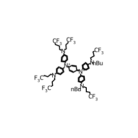 CCCCN(CCCC(F)(F)F)c1ccc([N+](=C2C=CC(=[N+](c3ccc(N(CCCC(F)(F)F)CCCC(F)(F)F)cc3)c3ccc(N(CCCC(F)(F)F)CCCC(F)(F)F)cc3)C=C2)c2ccc(N(CCCC)CCCC(F)(F)F)cc2)cc1